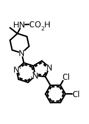 CC1(NC(=O)O)CCN(c2nccn3c(-c4cccc(Cl)c4Cl)ncc23)CC1